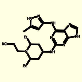 CCC1CC(Nc2nc(Nc3cc(C)[nH]n3)c3nc[nH]c3n2)CC(CC)N1CCC#N